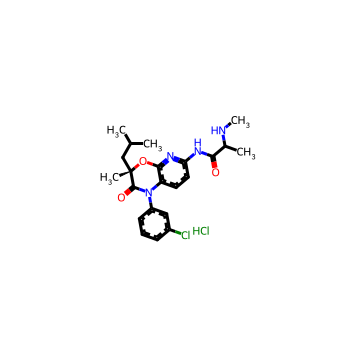 CNC(C)C(=O)Nc1ccc2c(n1)O[C@@](C)(CC(C)C)C(=O)N2c1cccc(Cl)c1.Cl